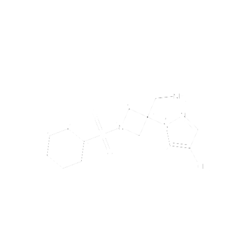 Cc1cnn(C2(CN)CN(S(=O)(=O)C3CCCCC3)C2)c1